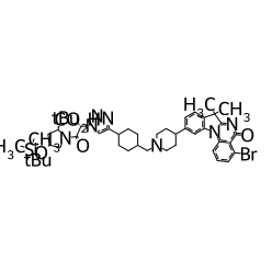 CC1(C)c2ccc(C3CCN(CC4CCC(c5cn([C@H](C(=O)N6C[C@H](O[Si](C)(C)C(C)(C)C)C[C@H]6C(=O)O)C(C)(C)C)nn5)CC4)CC3)cc2-n2c1nc(=O)c1c(Br)cccc12